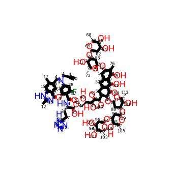 C#CCN(Cc1cc2c(=O)nc(C)[nH]c2cc1C)c1ccc(C(=O)N[C@@H](CCc2nnn[nH]2)C(=O)O)c(F)c1.CO[C@H](C(=O)[C@@H](O)[C@@H](C)O)C1Cc2cc3cc(O[C@H]4C[C@@H](O[C@H]5C[C@@H](O)[C@H](O)[C@@H](C)O5)[C@@H](O)[C@@H](C)O4)c(C)c(O)c3c(O)c2C(=O)[C@H]1O[C@H]1C[C@@H](O[C@H]2C[C@@H](O[C@H]3C[C@](C)(O)[C@H](O)[C@@H](C)O3)[C@H](O)[C@@H](C)O2)[C@H](O)[C@@H](C)O1